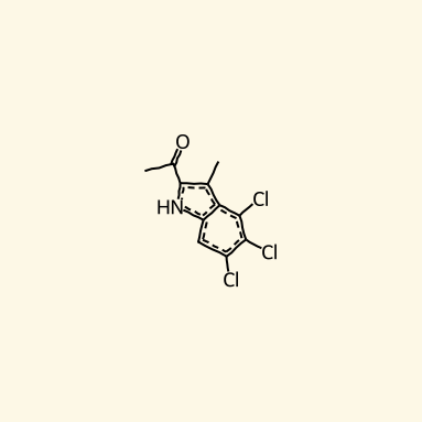 CC(=O)c1[nH]c2cc(Cl)c(Cl)c(Cl)c2c1C